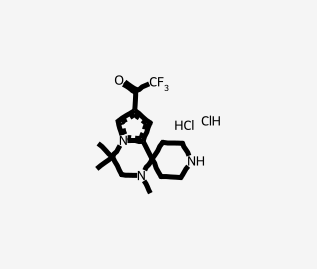 CN1CC(C)(C)n2cc(C(=O)C(F)(F)F)cc2C12CCNCC2.Cl.Cl